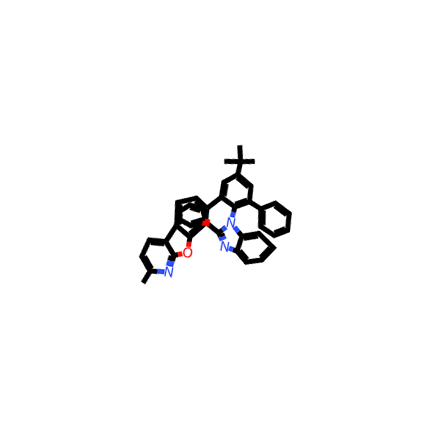 Cc1ccc2c(n1)oc1c(-c3nc4ccccc4n3-c3c(-c4ccccc4)cc(C(C)(C)C)cc3-c3ccccc3)cccc12